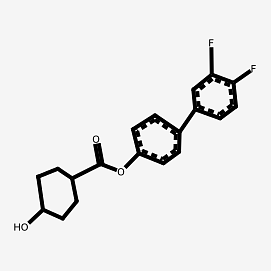 O=C(Oc1ccc(-c2ccc(F)c(F)c2)cc1)C1CCC(O)CC1